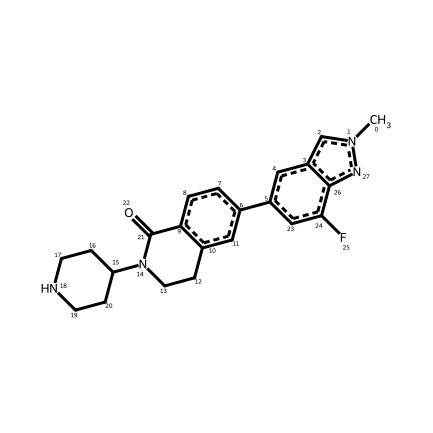 Cn1cc2cc(-c3ccc4c(c3)CCN(C3CCNCC3)C4=O)cc(F)c2n1